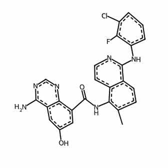 Cc1ccc2c(Nc3cccc(Cl)c3F)nccc2c1NC(=O)c1cc(O)cc2c(N)ncnc12